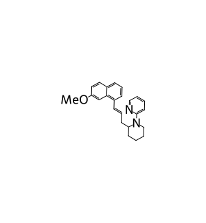 COc1ccc2cccc(C=CCC3CCCCN3c3ccccn3)c2c1